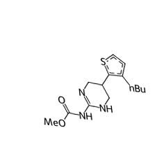 CCCCc1ccsc1C1CN=C(NC(=O)OC)NC1